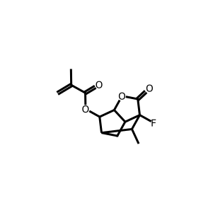 C=C(C)C(=O)OC1C2CC3C1OC(=O)C3(F)C2C